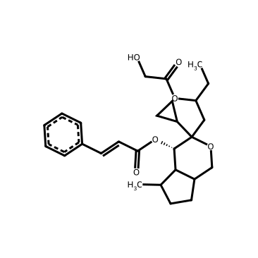 CCC(CC1(C2CC2)OCC2CCC(C)C2[C@@H]1OC(=O)/C=C/c1ccccc1)OC(=O)CO